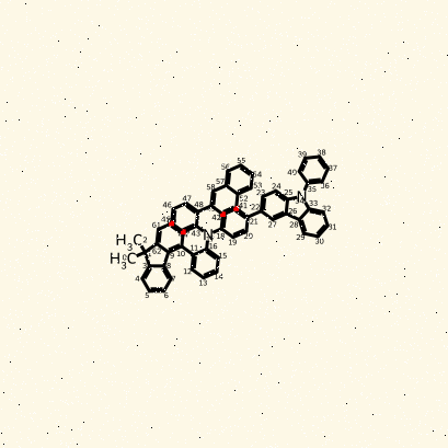 CC1(C)c2ccccc2-c2c(-c3ccccc3N(c3ccc(-c4ccc5c(c4)c4ccccc4n5-c4ccccc4)cc3)c3ccccc3-c3ccc4ccccc4c3)cccc21